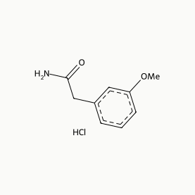 COc1cccc(CC(N)=O)c1.Cl